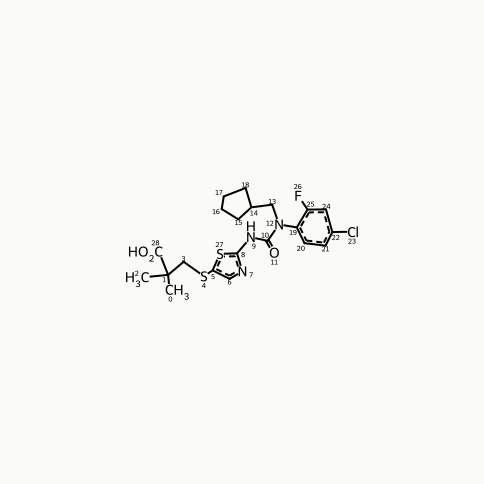 CC(C)(CSc1cnc(NC(=O)N(CC2CCCC2)c2ccc(Cl)cc2F)s1)C(=O)O